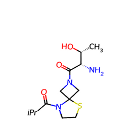 CC(C)C(=O)N1CCSC12CN(C(=O)[C@@H](N)[C@@H](C)O)C2